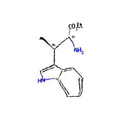 CCOC(=O)[C@H](N)[C@H](C)c1c[nH]c2ccccc12